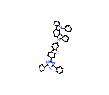 c1ccc(-c2nc(-c3ccccc3)nc(-c3ccc4c(c3)sc3cc(-n5c6ccccc6c6c5ccc5c7ccccc7n(-c7ccccc7)c56)ccc34)n2)cc1